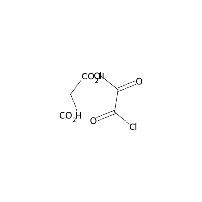 O=C(Cl)C(=O)Cl.O=C(O)CC(=O)O